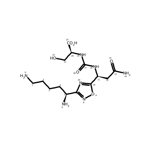 NCCCC[C@H](N)c1noc([C@H](CC(N)=O)NC(=O)N[C@@H](CO)C(=O)O)n1